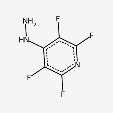 NNc1c(F)c(F)nc(F)c1F